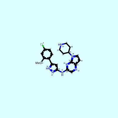 COc1cc(Cl)ccc1-c1cc(Nc2cnc3ccn(C4CCNCC4)c3n2)n[nH]1